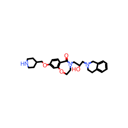 O=C1c2ccc(OCC3CCNCC3)cc2OCCN1CC(O)CN1CCc2ccccc2C1